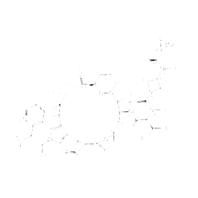 CCn1c(C2=C([C@H](C)OC)N=CCC2)c2c3cc(ccc31)-c1csc(n1)C[C@H](NC(=O)[C@H](C(C)C)N(C)C(=O)N1CC(N(C)C(=O)[C@@H]3CN3)C1)C(=O)N1CCC[C@H](N1)C(=O)OCC(C)(C)C2